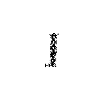 CC1CN(C2CCN(c3ccc(-c4nn5cc(-c6ccc(C(=O)O)cc6)nc5s4)cc3)CC2)CC(C)O1